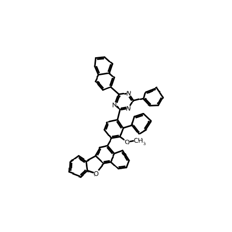 COc1c(-c2cc3c4ccccc4oc3c3ccccc23)ccc(-c2nc(-c3ccccc3)nc(-c3ccc4ccccc4c3)n2)c1-c1ccccc1